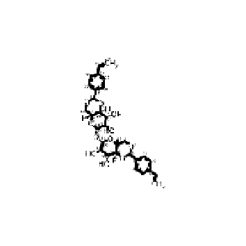 C=Cc1ccc(C2OC[C@H]3O[C@H](O[C@H]4O[C@@H]5COC(c6ccc(C=C)cc6)O[C@H]5[C@H](O)C4O)[C@H](O)[C@@H](O)[C@@H]3O2)cc1